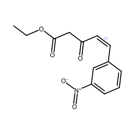 CCOC(=O)CC(=O)/C=C\c1cccc([N+](=O)[O-])c1